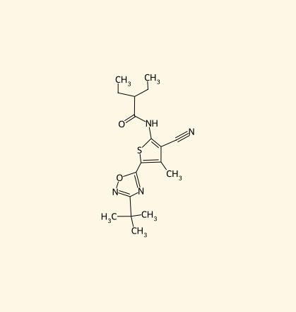 CCC(CC)C(=O)Nc1sc(-c2nc(C(C)(C)C)no2)c(C)c1C#N